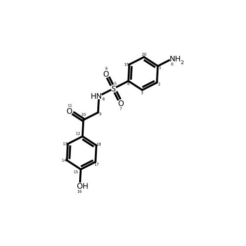 Nc1ccc(S(=O)(=O)NCC(=O)c2ccc(O)cc2)cc1